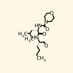 CCCC[C@@H](C=O)NC(=O)[C@H](CC(C)C)NC(=O)N1CCOCC1